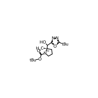 CC(C)(C)OC(=O)N1CCC[C@@]1(C)C(O)c1nnc(C(C)(C)C)o1